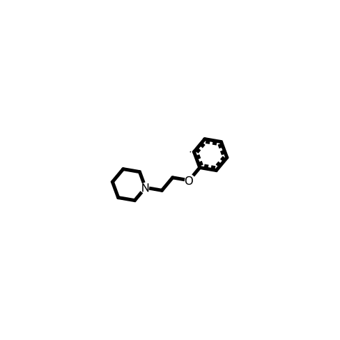 [c]1ccccc1OCCN1CCCCC1